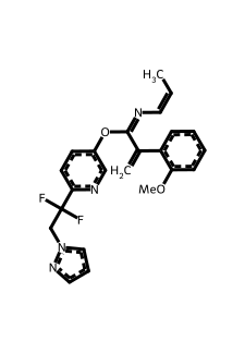 C=C(/C(=N\C=C/C)Oc1ccc(C(F)(F)Cn2cccn2)nc1)c1ccccc1OC